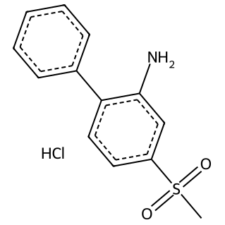 CS(=O)(=O)c1ccc(-c2ccccc2)c(N)c1.Cl